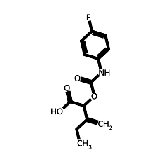 C=C(CC)C(OC(=O)Nc1ccc(F)cc1)C(=O)O